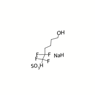 O=S(=O)(O)C(F)(F)C(F)(F)CCCCO.[NaH]